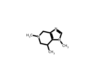 CC1CN(C)Cc2ncn(C)c21